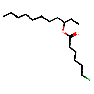 CCCCCCCCC(CC)OC(=O)CCCCCBr